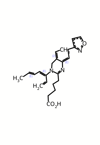 C=C/C(=C\C=C\C)N1CC(=C/C)/C(=C\Cc2ccon2)N=C1CCCCC(=O)O